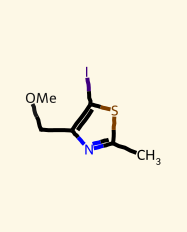 COCc1nc(C)sc1I